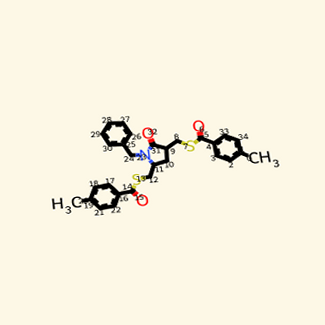 Cc1ccc(C(=O)SCC2CC(CSC(=O)c3ccc(C)cc3)N(Cc3ccccc3)C2=O)cc1